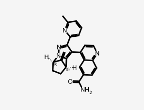 C=C1[C@H]2CC[C@@H]1c1c(-c3ccnc4ccc(C(N)=O)cc34)c(-c3cccc(C)n3)nn12